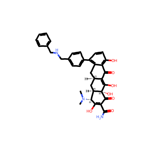 CN(C)[C@H]1C(O)=C(C(N)=O)C(=O)[C@]2(O)C(O)=C3C(=O)c4c(O)ccc(-c5ccc(CNCc6ccccc6)cc5)c4C[C@@H]3C[C@H]12